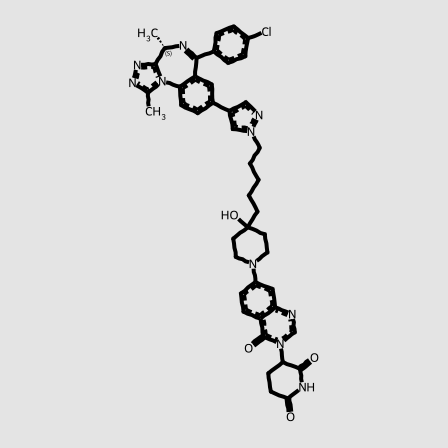 Cc1nnc2n1-c1ccc(-c3cnn(CCCCCC4(O)CCN(c5ccc6c(=O)n(C7CCC(=O)NC7=O)cnc6c5)CC4)c3)cc1C(c1ccc(Cl)cc1)=N[C@H]2C